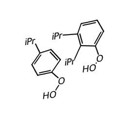 CC(C)c1ccc(OO)cc1.CC(C)c1cccc(OO)c1C(C)C